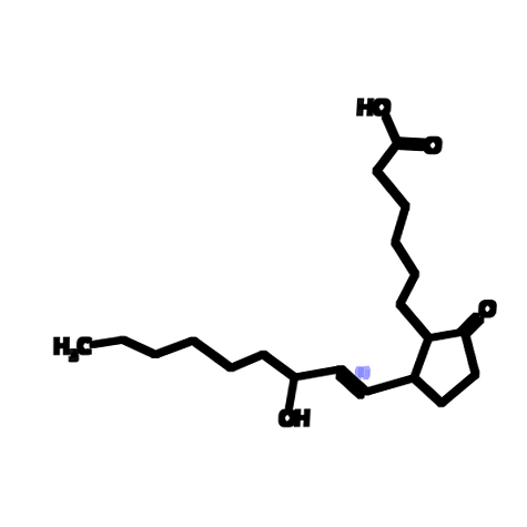 CCCCCCC(O)/C=C/C1CCC(=O)C1CCCCCC(=O)O